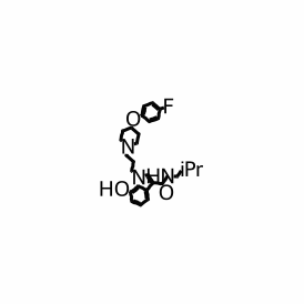 CC(C)CNC(=O)c1cn(CCCN2CCC(Oc3ccc(F)cc3)CC2)c2c(O)cccc12